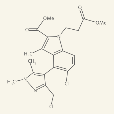 COC(=O)CCn1c(C(=O)OC)c(C)c2c(-c3c(CCl)nn(C)c3C)c(Cl)ccc21